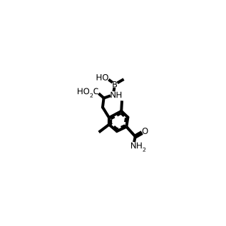 CB(O)NC(Cc1c(C)cc(C(N)=O)cc1C)C(=O)O